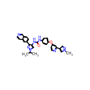 CC(C)n1cc(NC(=O)Nc2ccc(Oc3ccnc(-c4cnn(C)c4)c3)cc2)c(-c2ccc3cnccc3c2)n1